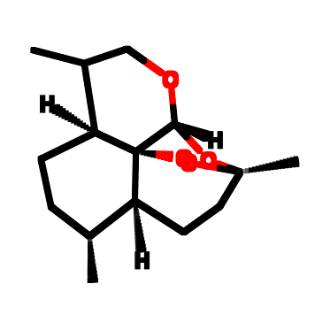 CC1CO[C@@H]2O[C@]3(C)CC[C@H]4[C@H](C)CC[C@@H]1[C@@]24OO3